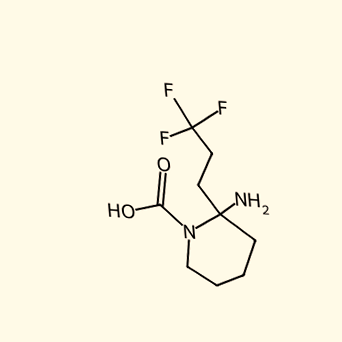 NC1(CCC(F)(F)F)CCCCN1C(=O)O